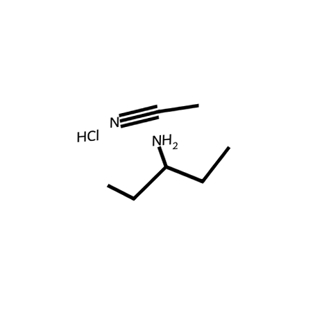 CC#N.CCC(N)CC.Cl